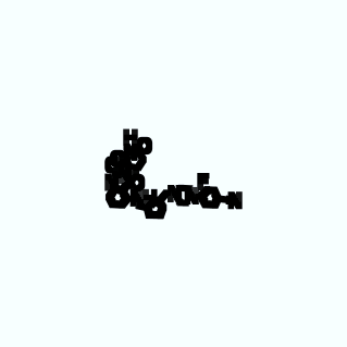 Cc1nc2cccc(NCc3cccc(CN4CCN(c5ccc(C#N)cc5F)CC4)c3)c2c(=O)n1C1CCC(=O)NC1=O